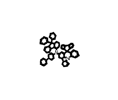 c1ccc(-c2ccc(N(c3cc4c5c(c3)c3ccccc3n5-c3ccccc3C43c4ccccc4-c4ccccc43)c3cccc4c3-c3ccccc3C4(c3ccccc3)c3ccccc3)cc2)cc1